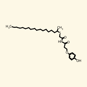 CCCCCCCCCCCCCCCCC(C)SCC(=O)NC(=O)CCOc1ccc(O)cc1